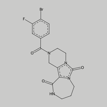 O=C1NCCCn2c1c1n(c2=O)CCN(C(=O)c2ccc(Br)c(F)c2)C1